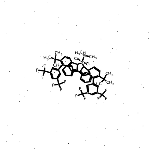 C[SiH](C)[Zr]([Cl])([Cl])([CH]1C(c2ccccc2)=Cc2c1ccc(C(C)(C)C)c2-c1cc(C(F)(F)F)cc(C(F)(F)F)c1)[CH]1C(c2ccccc2)=Cc2c1ccc(C(C)(C)C)c2-c1cc(C(F)(F)F)cc(C(F)(F)F)c1